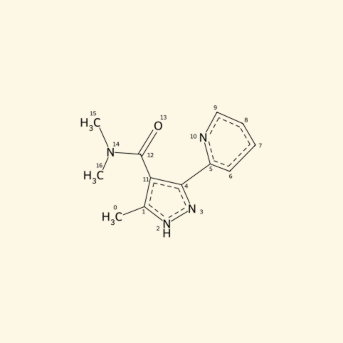 Cc1[nH]nc(-c2ccccn2)c1C(=O)N(C)C